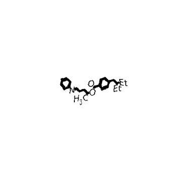 CCC(CC)Cc1ccc(C(=O)OC(C)CCC=Nc2ccccc2)cc1